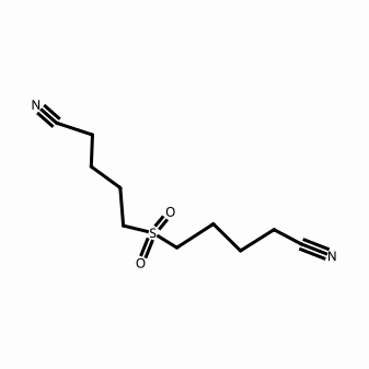 N#CCCCCS(=O)(=O)CCCCC#N